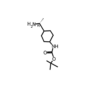 C[C@@H](N)C1CCC(NC(=O)OC(C)(C)C)CC1